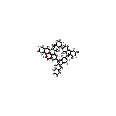 c1ccc2cc3c(cc2c1)c1ccc(-n2c4ccccc4c4ccccc42)cc1n3-c1cc(-c2nc3ccccc3nc2-c2cc3ccccc3c3ccccc23)c2ccccc2c1